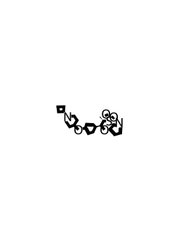 C[C@H]1[C@H](C2C=CC(OC3CCN(C4CCC4)CC3)=CC2)Oc2cccnc2S1(=O)=O